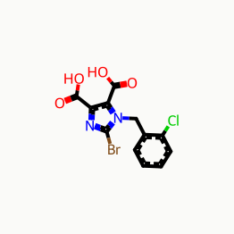 O=C(O)c1nc(Br)n(Cc2ccccc2Cl)c1C(=O)O